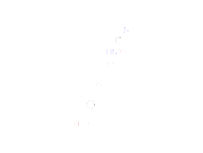 N#Cc1ccc(C(=O)NCCOCCOCCOCCOc2ccc(CCC(=O)O)cc2)s1